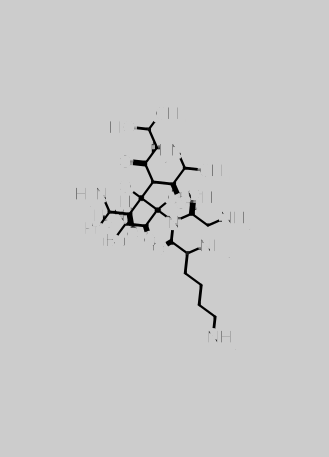 CCC(C)C(N)C(=O)C(C(=O)O)(N(C(=O)CN)C(=O)C(N)CCCCN)C(O)(C(=O)C(N)C(C)C)C(C(=O)CC(C)O)C(=O)C(C)N